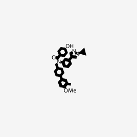 COc1ccc(C2CCC(CN(C(=O)C3CCC(O)CC3)c3cccc(-c4cnn(C5CC5)c4)c3)CC2)cc1C